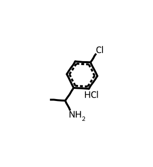 CC(N)c1ccc(Cl)cc1.Cl